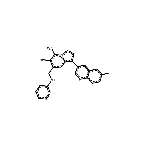 Nc1c(Br)c(CNc2ccccn2)nc2c(-c3cnc4ccc(F)cc4c3)cnn12